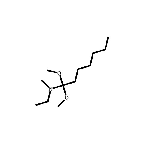 CCCCCCC(OC)(OC)N(C)CC